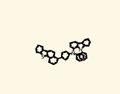 c1ccc(N(c2ccc(-c3cccc4c3ccc3c5ccccc5sc43)cc2)c2cccc3c4ccccc4n(-c4ccccc4)c23)cc1